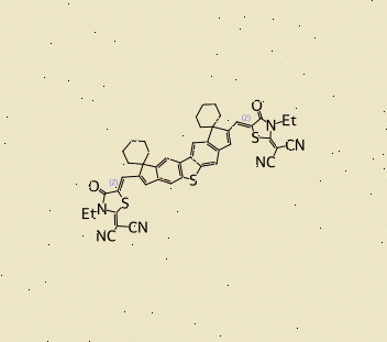 CCn1c(=C(C#N)C#N)s/c(=C\C2=Cc3cc4sc5cc6c(cc5c4cc3C23CCCCC3)C2(CCCCC2)C(/C=c2\sc(=C(C#N)C#N)n(CC)c2=O)=C6)c1=O